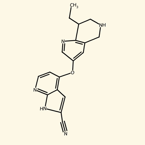 CCC1CNCc2cc(Oc3ccnc4[nH]c(C#N)cc34)cnc21